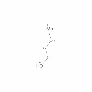 OCC[O][Mo]